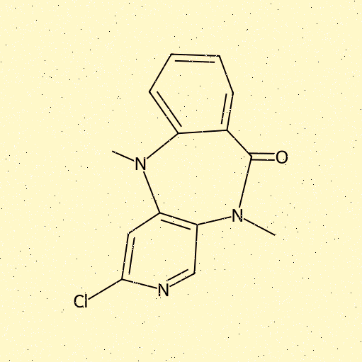 CN1C(=O)c2ccccc2N(C)c2cc(Cl)ncc21